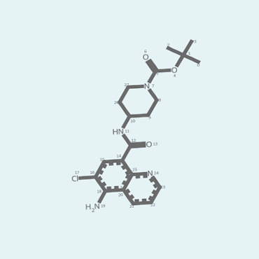 CC(C)(C)OC(=O)N1CCC(NC(=O)c2cc(Cl)c(N)c3cccnc23)CC1